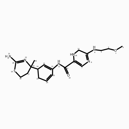 COCCNC1=NC=C(C(=O)NC2=CC(C3(C)CCSC(N)=N3)CC=C2)NC1